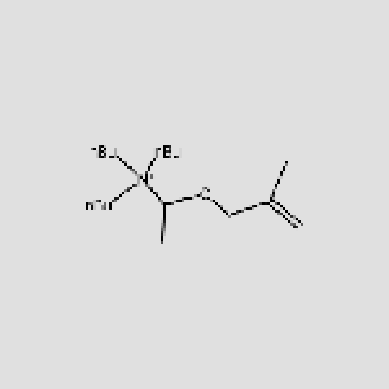 C=C(C)COC(C)[N+](CCCC)(CCCC)CCCC